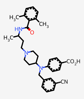 Cc1cccc(C)c1C(=O)NC(C)CCN1CCC(N(Cc2cccc(C#N)c2)c2ccc(C(=O)O)cc2)CC1